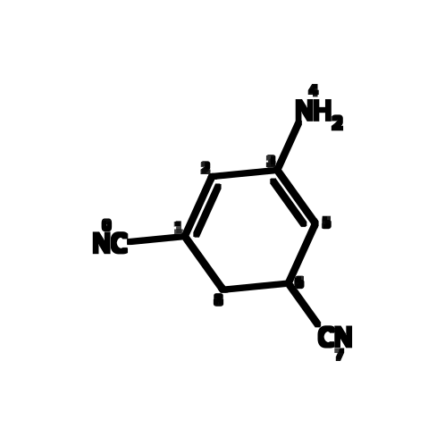 N#CC1=CC(N)=CC(C#N)C1